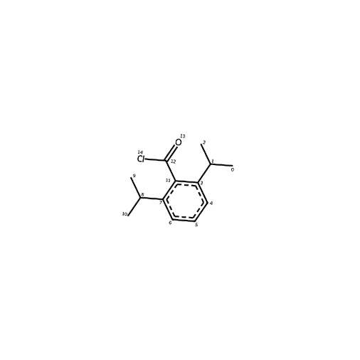 CC(C)c1cccc(C(C)C)c1C(=O)Cl